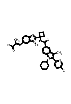 C/C(=C\c1ccc2nc(C3(NC(=O)c4ccc5c(c4)c(C)c(-c4ccc(Cl)cn4)n5C4CCCCC4)CCC3)n(C)c2c1)C(=O)O